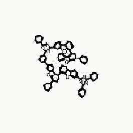 c1ccc(-c2cc(-c3cccc4c3oc3cc(-c5nc(-c6ccccc6)nc(-c6cccc(-c7ccc8c(c7)oc7c(-c9ccccc9)ccc(-c9cccc%10c9oc9cc(-c%11nc(-c%12ccccc%12)nc(-c%12ccccc%12)n%11)ccc9%10)c78)c6)n5)ccc34)c3c(c2)oc2ccccc23)cc1